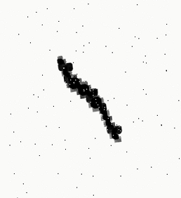 C=COC(=O)CCOc1ccc(-c2ccc(C(=O)Oc3ccc(OCCCCCCOC(=O)C=C)cc3)cc2)cc1